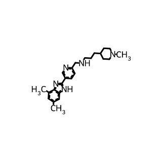 Cc1cc(C)c2nc(-c3ccc(CNCCCC4CCN(C)CC4)nc3)[nH]c2c1